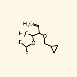 C=CC(OCC1CC1)C(C)OC(F)F